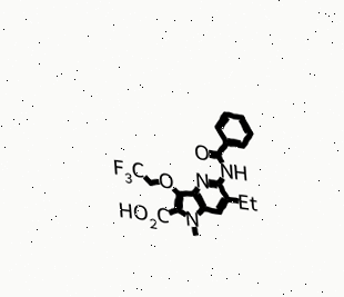 CCc1cc2c(nc1NC(=O)c1ccccc1)c(OCC(F)(F)F)c(C(=O)O)n2C